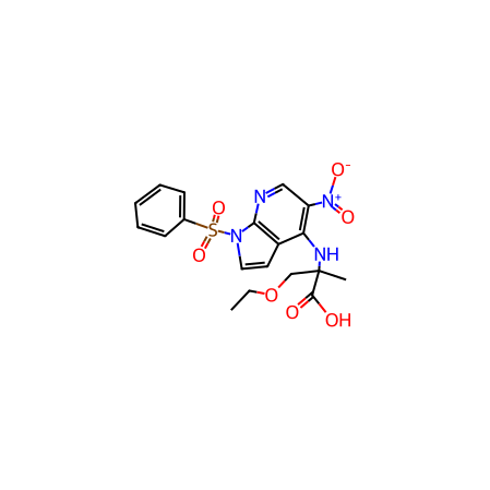 CCOCC(C)(Nc1c([N+](=O)[O-])cnc2c1ccn2S(=O)(=O)c1ccccc1)C(=O)O